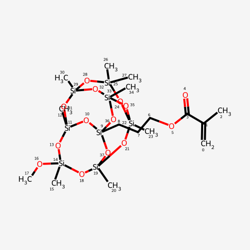 C=C(C)C(=O)OCCC[Si]12O[Si]3(C)O[Si](C)(OC)O[Si](C)(O[Si]4(C)O[Si](C)(C)O[Si](C)(O3)O[Si](C)(O4)O1)O2